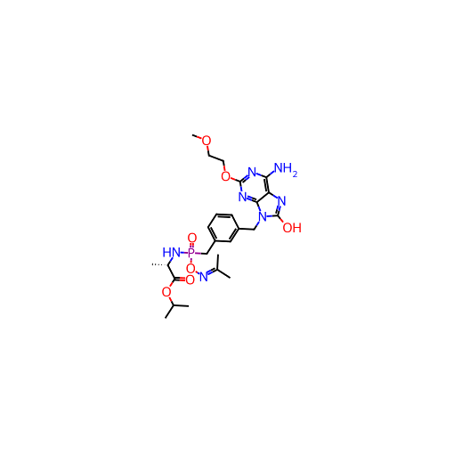 COCCOc1nc(N)c2nc(O)n(Cc3cccc(CP(=O)(N[C@@H](C)C(=O)OC(C)C)ON=C(C)C)c3)c2n1